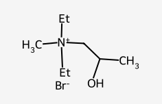 CC[N+](C)(CC)CC(C)O.[Br-]